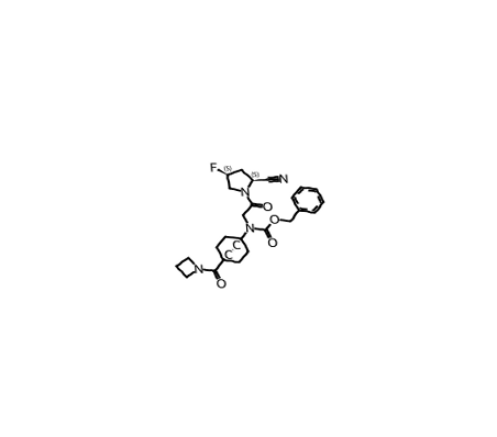 N#C[C@@H]1C[C@H](F)CN1C(=O)CN(C(=O)OCc1ccccc1)C12CCC(C(=O)N3CCC3)(CC1)CC2